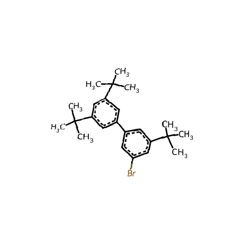 CC(C)(C)c1cc(Br)cc(-c2cc(C(C)(C)C)cc(C(C)(C)C)c2)c1